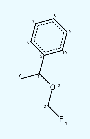 [CH2]C(OCF)c1ccccc1